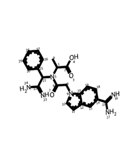 CC(C(=O)O)N(C(=O)Cn1ccc2cc(C(=N)N)ccc21)C(C(=N)N)c1ccccc1